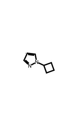 [c]1cnn(C2CCC2)c1